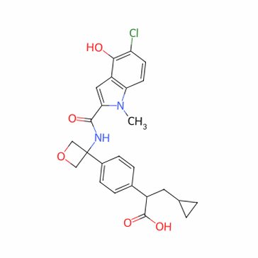 Cn1c(C(=O)NC2(c3ccc(C(CC4CC4)C(=O)O)cc3)COC2)cc2c(O)c(Cl)ccc21